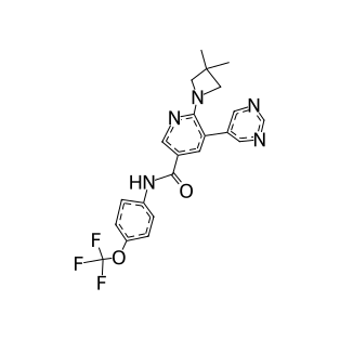 CC1(C)CN(c2ncc(C(=O)Nc3ccc(OC(F)(F)F)cc3)cc2-c2cncnc2)C1